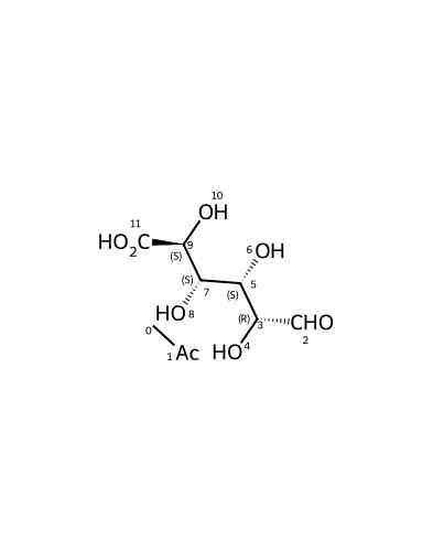 CC(C)=O.O=C[C@H](O)[C@@H](O)[C@H](O)[C@H](O)C(=O)O